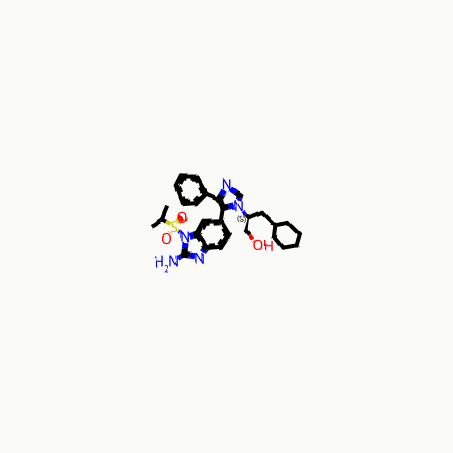 CC(C)S(=O)(=O)n1c(N)nc2ccc(-c3c(-c4ccccc4)ncn3[C@H](CO)CC3CCCCC3)cc21